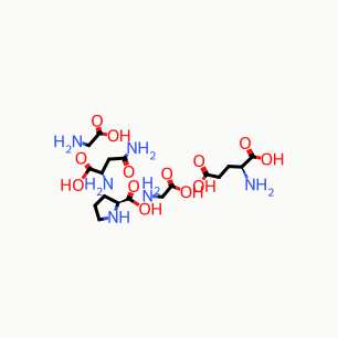 NC(=O)C[C@H](N)C(=O)O.NCC(=O)O.NCC(=O)O.N[C@@H](CCC(=O)O)C(=O)O.O=C(O)[C@@H]1CCCN1